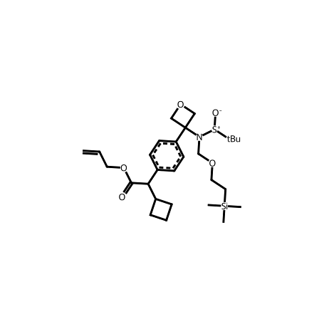 C=CCOC(=O)C(c1ccc(C2(N(COCC[Si](C)(C)C)[S+]([O-])C(C)(C)C)COC2)cc1)C1CCC1